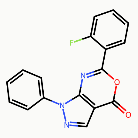 O=c1oc(-c2ccccc2F)nc2c1cnn2-c1ccccc1